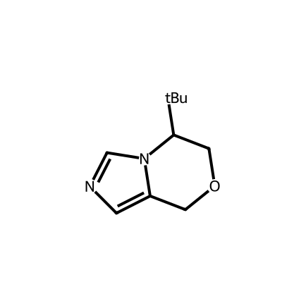 CC(C)(C)C1COCc2cncn21